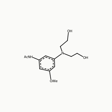 COc1cc(NC(C)=O)cc(N(CCO)CCO)c1